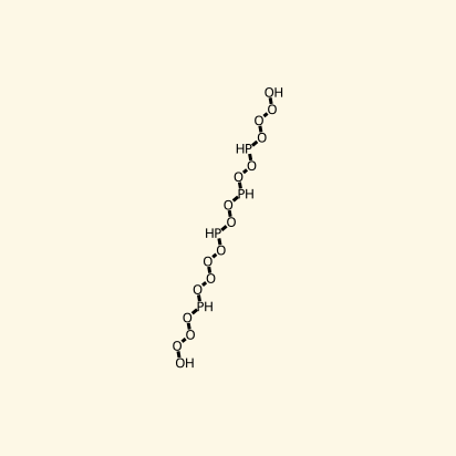 OOOOPOOOOPOOPOOPOOOO